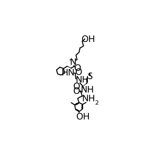 CSCC[C@@H](NC(=O)[C@@H](N)Cc1c(C)cc(O)cc1C)C(=O)NCC(=O)N[C@@H](CC1CCCCC1)C(=O)N(C)CCCCCCO